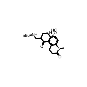 CCCCNCC1CCc2ccc3c(c2C1=O)CCC(=O)N3C.Cl.O